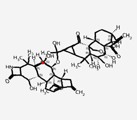 C=C1C[C@@H]2C1=CC[C@H]1[C@@]34CO[C@](OC(C)(O)C5C6C(=O)[C@]78CO[C@](O)([C@@H](O)[C@@H]7C(C)(C)C65)[C@]56C(=O)C(=C)[C@H](CC[C@@H]85)[C@@H]6O)([C@@H](O)[C@@H]3C(C)(C)C3NC(=O)C3C4O)[C@@]21C(C)=O